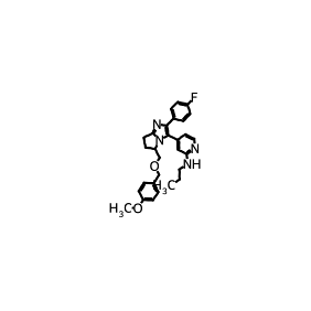 CCCNc1cc(-c2c(-c3ccc(F)cc3)nc3n2C(COCc2ccc(OC)cc2)CC3)ccn1